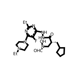 CCc1nc(NNC(=O)[C@H](CC2CCCC2)CN(O)C=O)c(F)c(N2CCN(CC)CC2)n1